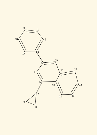 c1ccc(-c2cc(C3CC3)c3ccccc3c2)cc1